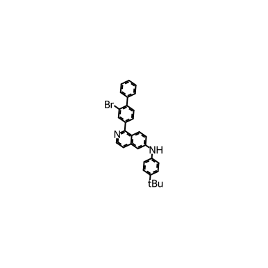 CC(C)(C)c1ccc(Nc2ccc3c(-c4ccc(-c5ccccc5)c(Br)c4)nccc3c2)cc1